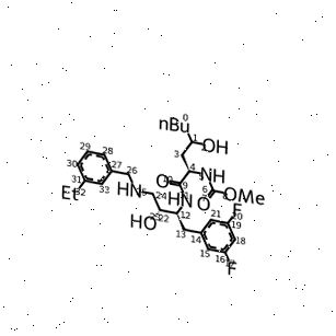 CCCCC(O)C[C@@H](NC(=O)OC)C(=O)N[C@@H](Cc1cc(F)cc(F)c1)[C@H](O)CNCc1cccc(CC)c1